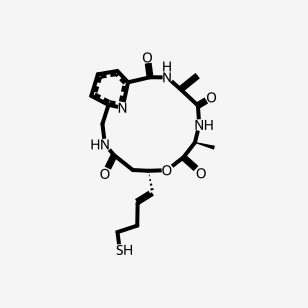 C=C1NC(=O)c2cccc(n2)CNC(=O)C[C@@H](/C=C/CCS)OC(=O)[C@H](C)NC1=O